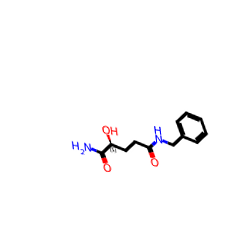 NC(=O)[C@@H](O)CCC(=O)NCc1ccccc1